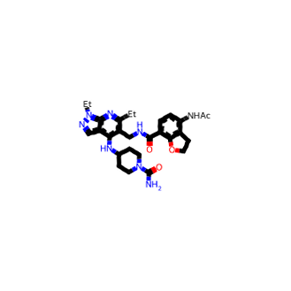 CCc1nc2c(cnn2CC)c(NC2CCN(C(N)=O)CC2)c1CNC(=O)c1ccc(NC(C)=O)c2c1OCC2